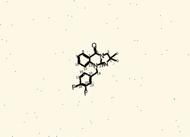 CC1(C)CN2C(=O)c3ccccc3N(Cc3ccc(F)c(F)c3)C2=N1